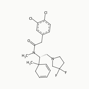 CN(C(=O)Cc1ccc(Cl)c(Cl)c1)[C@H](CN1CCC(F)(F)C1)C1(C)C=CC=CC1